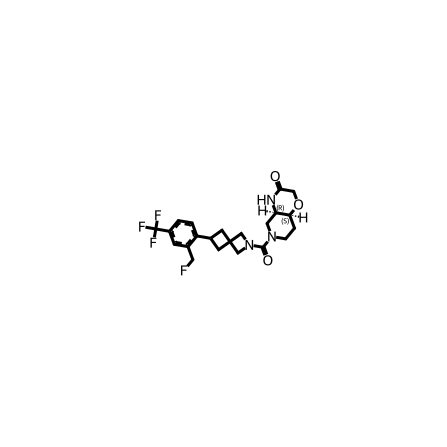 O=C1CO[C@H]2CCN(C(=O)N3CC4(CC(c5ccc(C(F)(F)F)cc5CF)C4)C3)C[C@H]2N1